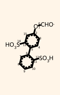 O=[C]Oc1ccc(-c2cc[c]cc2S(=O)(=O)O)c(S(=O)(=O)O)c1